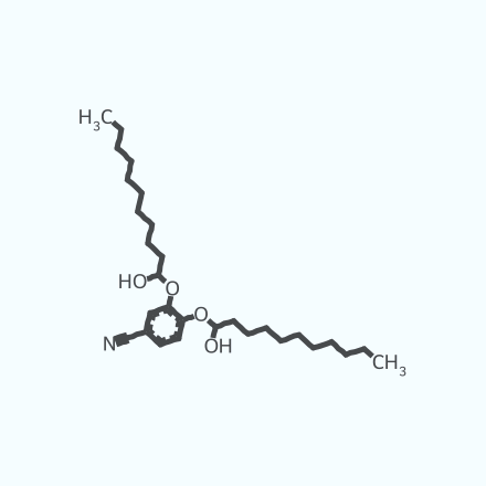 CCCCCCCCCCC(O)Oc1ccc(C#N)cc1OC(O)CCCCCCCCCC